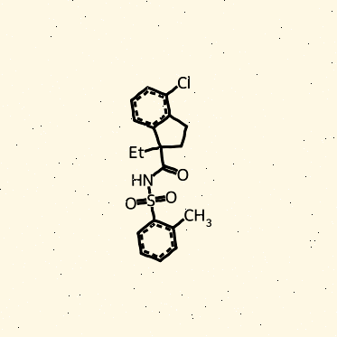 CCC1(C(=O)NS(=O)(=O)c2ccccc2C)CCc2c(Cl)cccc21